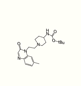 Cc1ccc2ncc(=O)n(CCN3CCC(NC(=O)OC(C)(C)C)CC3)c2c1